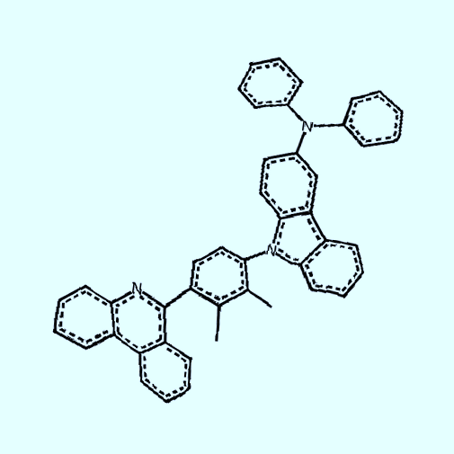 Cc1c(-c2nc3ccccc3c3ccccc23)ccc(-n2c3ccccc3c3cc(N(c4ccccc4)c4ccccc4)ccc32)c1C